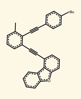 CCCCc1ccc(C#Cc2c(C)cccc2C#Cc2cccc3oc4ccccc4c23)cc1